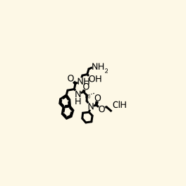 CCOC(=O)N(C[C@@H](C)C(=O)NC(Cc1ccc2ccccc2c1)C(=O)NCC(O)CN)C1CCCCC1.Cl